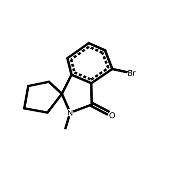 CN1C(=O)c2c(Br)cccc2C12CCCC2